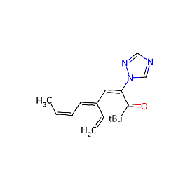 C=CC(=C\C=C/C)/C=C(\C(=O)C(C)(C)C)n1cncn1